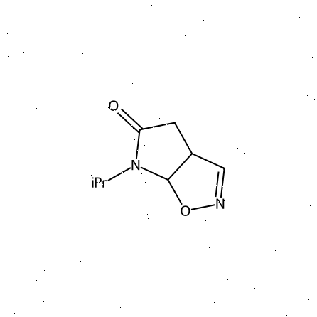 CC(C)N1C(=O)CC2C=NOC21